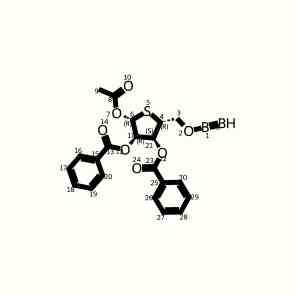 B=BOC[C@H]1S[C@@H](OC(C)=O)[C@H](OC(=O)c2ccccc2)[C@@H]1OC(=O)c1ccccc1